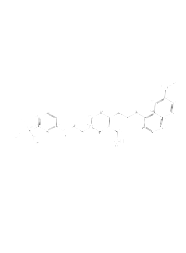 COc1ccc2nccc(CCC[C@@H]3CCN(CCSc4cccc(C(F)(F)F)c4)C[C@@H]3CO)c2c1